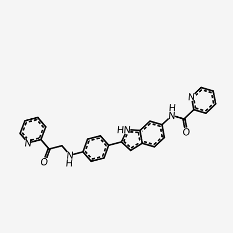 O=C(CNc1ccc(-c2cc3ccc(NC(=O)c4ccccn4)cc3[nH]2)cc1)c1ccccn1